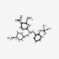 Nc1nc(N(Cc2ccccc2SC(F)(F)F)CC2CCC(N)CC2)ncc1[N+](=O)[O-]